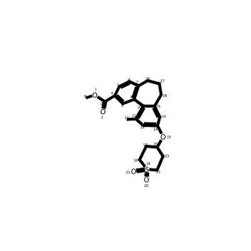 COC(=O)c1ccc2c(c1)-c1c(C)cc(OC3CCS(=O)(=O)CC3)cc1CCC2